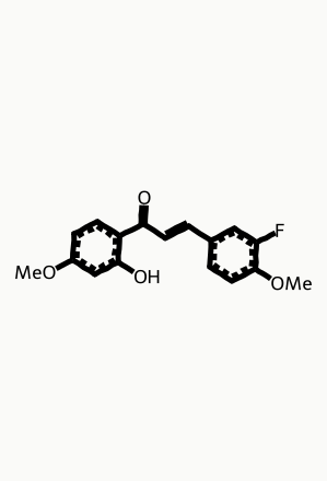 COc1ccc(C(=O)C=Cc2ccc(OC)c(F)c2)c(O)c1